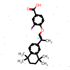 C/C(=C\Oc1ccc(C(=O)O)cc1I)c1ccc2c(c1)C(C)(C)CCC2(C)C